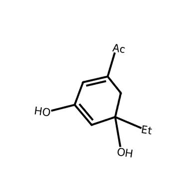 CCC1(O)C=C(O)C=C(C(C)=O)C1